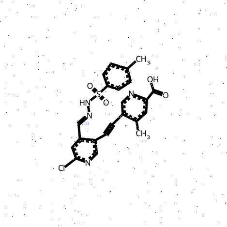 Cc1ccc(S(=O)(=O)N/N=C/c2cc(Cl)ncc2C#Cc2cnc(C(=O)O)cc2C)cc1